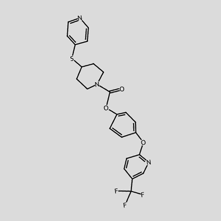 O=C(Oc1ccc(Oc2ccc(C(F)(F)F)cn2)cc1)N1CCC(Sc2ccncc2)CC1